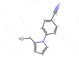 CCc1cccn1-c1ccc(C#N)cc1